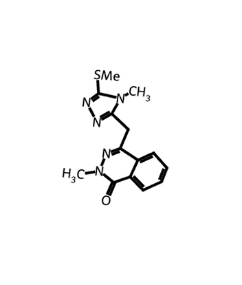 CSc1nnc(Cc2nn(C)c(=O)c3ccccc23)n1C